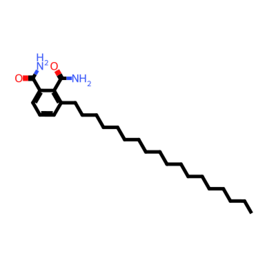 CCCCCCCCCCCCCCCCCCc1cccc(C(N)=O)c1C(N)=O